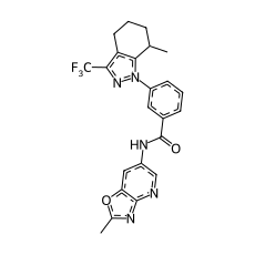 Cc1nc2ncc(NC(=O)c3cccc(-n4nc(C(F)(F)F)c5c4C(C)CCC5)c3)cc2o1